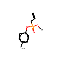 C=CCP(=O)(OCC)Oc1ccc(OC)cc1